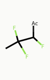 CC(=O)C(F)C(C)(F)F